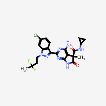 CC(F)(F)CCn1nc(-c2nc(N)c3c(n2)NC(=O)C3(C)C(=O)NC2CC2)c2ccc(Cl)cc21